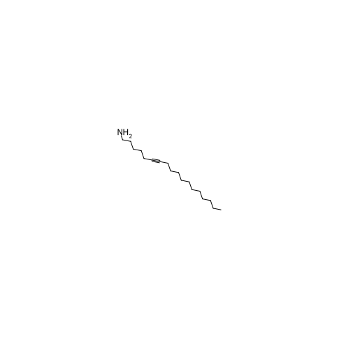 CCCCCCCCCCCC#CCCCCCN